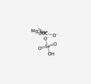 O=C([O-])[O-].O=[Se](=O)([O-])O.[Mg+2].[Na+]